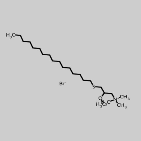 CCCCCCCCCCCCCCCCSCC(C[N+](C)(C)C)OC.[Br-]